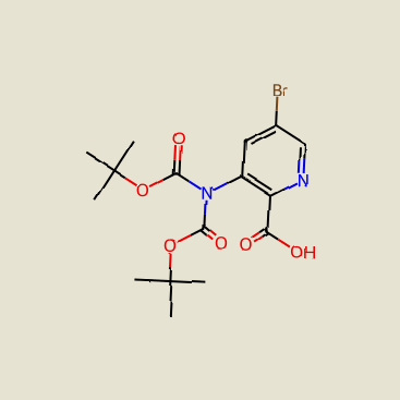 CC(C)(C)OC(=O)N(C(=O)OC(C)(C)C)c1cc(Br)cnc1C(=O)O